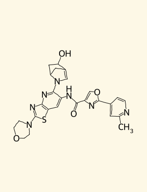 Cc1cc(-c2nc(C(=O)Nc3cc4sc(N5CCOCC5)nc4nc3N3C=C4CC3CC4O)co2)ccn1